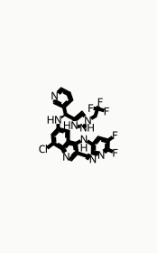 N#Cc1cnc2c(Cl)cc(N[C@H](C3=CN(CC(F)(F)F)NN3)c3cccnc3)cc2c1Nc1cnc(F)c(F)c1